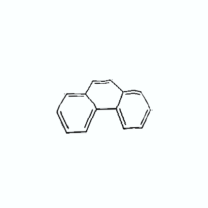 [c]1ccc2c([c]cc3[c]cccc32)c1